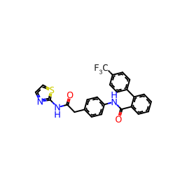 O=C(Cc1ccc(NC(=O)c2ccccc2-c2ccc(C(F)(F)F)cc2)cc1)Nc1nccs1